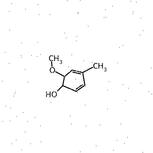 COC1C=C(C)C=CC1O